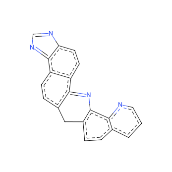 C1=Nc2ccc3c4c(ccc3c2=N1)Cc1ccc2cccnc2c1N=4